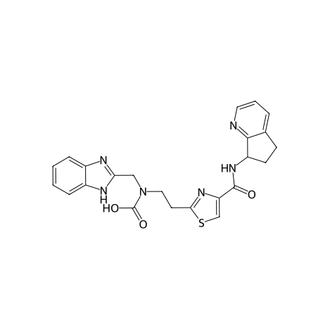 O=C(NC1CCc2cccnc21)c1csc(CCN(Cc2nc3ccccc3[nH]2)C(=O)O)n1